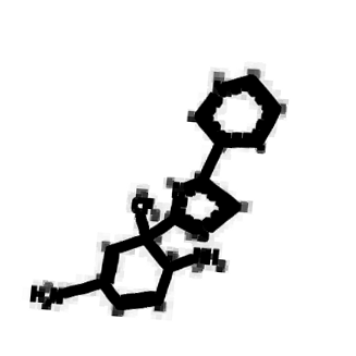 NC1=CC(c2nc(-c3cccnc3)cs2)(C(F)(F)F)C(N)C=C1